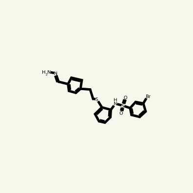 NN=Cc1ccc(CCSc2ccccc2NS(=O)(=O)c2cccc(Br)c2)cc1